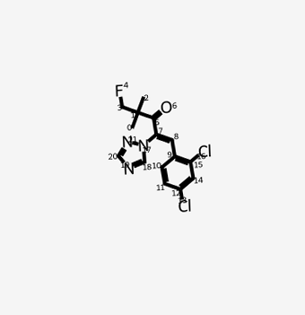 CC(C)(CF)C(=O)/C(=C/c1ccc(Cl)cc1Cl)n1cncn1